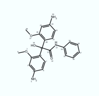 COc1cc(N)ccc1C(O)(C(=O)Nc1ccccc1)c1ccc(N)cc1OC